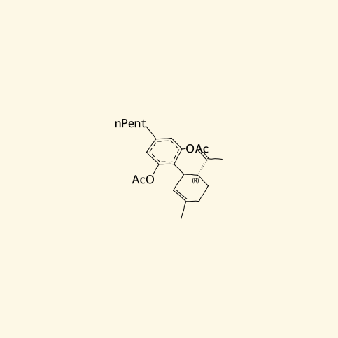 C=C(C)[C@@H]1CCC(C)=CC1c1c(OC(C)=O)cc(CCCCC)cc1OC(C)=O